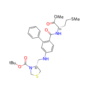 COC(=O)[C@H](CCSC)NC(=O)c1ccc(NC[C@@H]2CSCN2C(=O)OC(C)(C)C)cc1-c1ccccc1